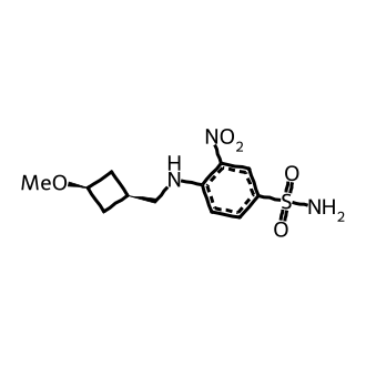 CO[C@H]1C[C@@H](CNc2ccc(S(N)(=O)=O)cc2[N+](=O)[O-])C1